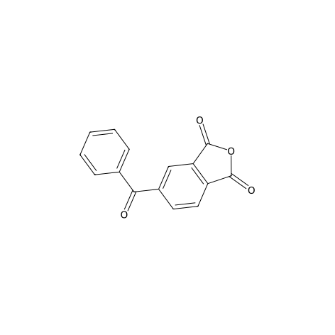 O=C(c1ccccc1)c1ccc2c(c1)C(=O)OC2=O